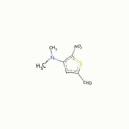 CN(C)c1cc(C=O)sc1[N+](=O)[O-]